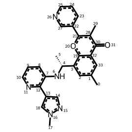 Cc1cc([C@@H](C)Nc2cccnc2-c2cnn(C)c2)c2oc(-c3cccnc3)c(C)c(=O)c2c1